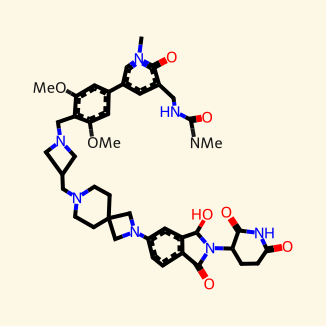 CNC(=O)NCc1cc(-c2cc(OC)c(CN3CC(CN4CCC5(CC4)CN(c4ccc6c(c4)C(O)N(C4CCC(=O)NC4=O)C6=O)C5)C3)c(OC)c2)cn(C)c1=O